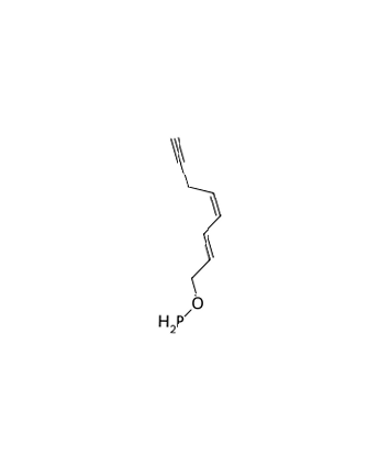 C#CC/C=C\C=C\COP